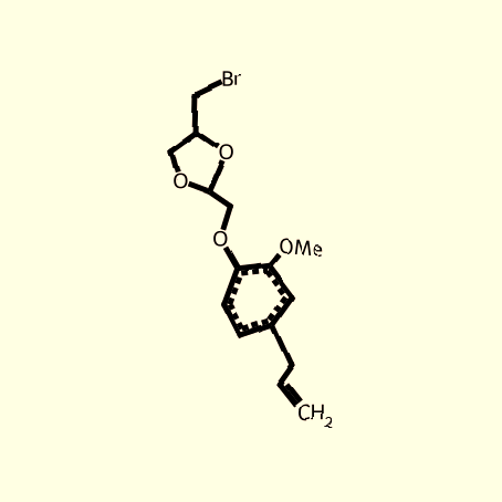 C=CCc1ccc(OCC2OCC(CBr)O2)c(OC)c1